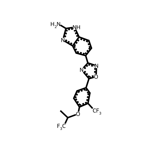 CC(Oc1ccc(-c2nc(-c3ccc4[nH]c(N)nc4c3)no2)cc1C(F)(F)F)C(F)(F)F